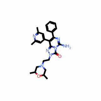 Cc1cc(-c2c(-c3ccccc3)nc(N)n3c(=O)n(CCN4CC(C)OC(C)C4)nc23)cc(C)n1